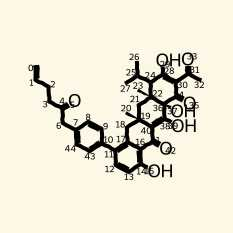 C=CCCC(=O)Cc1ccc(-c2ccc(O)c3c2C[C@]2(C)C[C@]4(C)C(C(C)C)C(O)=C(C(C)=O)C(=O)[C@]4(O)C(O)=C2C3=O)cc1